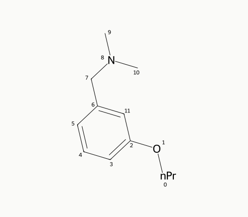 CCCOc1cccc(CN(C)C)c1